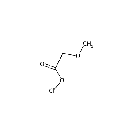 COCC(=O)OCl